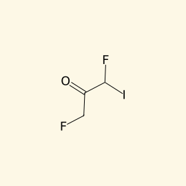 O=C(CF)C(F)I